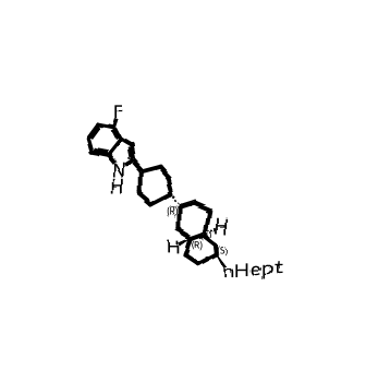 CCCCCCC[C@H]1CC[C@@H]2C[C@H](C3CCC(c4cc5c(F)cccc5[nH]4)CC3)CC[C@H]2C1